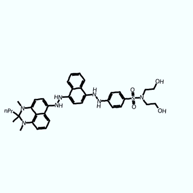 CCCC1(C)N(C)c2cccc3c(NNc4ccc(NNc5ccc(S(=O)(=O)N(CCO)CCO)cc5)c5ccccc45)ccc(c23)N1C